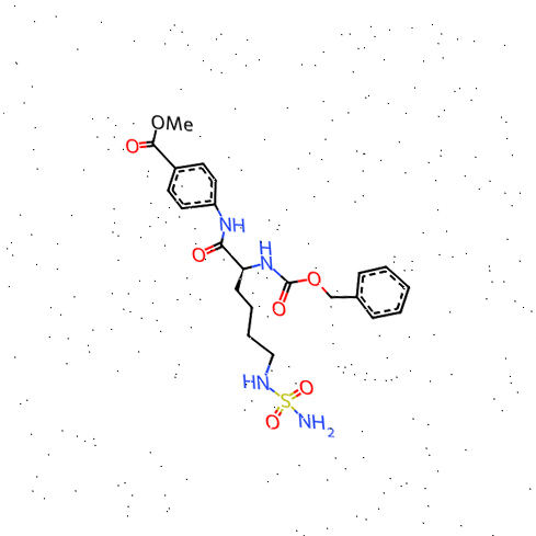 COC(=O)c1ccc(NC(=O)[C@H](CCCCNS(N)(=O)=O)NC(=O)OCc2ccccc2)cc1